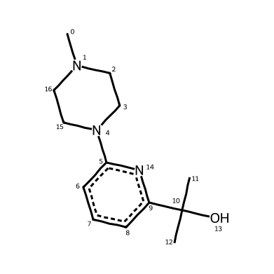 CN1CCN(c2cccc(C(C)(C)O)n2)CC1